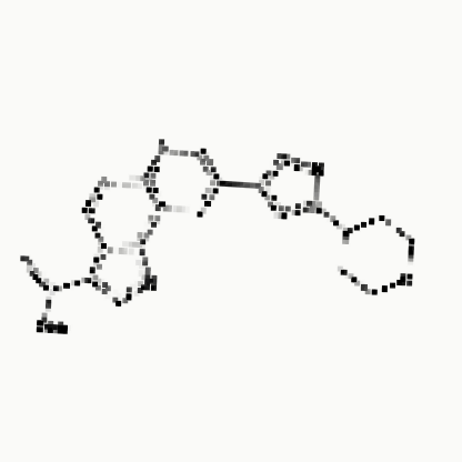 COC(=O)c1cnc2c3cc(-c4cnn(C5CCOCC5)c4)cnc3ccn12